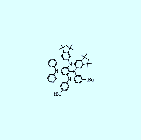 CC(C)(C)c1ccc(N2c3ccc(C(C)(C)C)cc3B3c4cc5c(cc4N(c4ccc6c(c4)C(C)(C)CC6(C)C)c4cc(N(c6ccccc6)c6ccccc6)cc2c43)C(C)(C)CC5(C)C)cc1